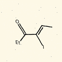 CC=C(I)C(=O)CC